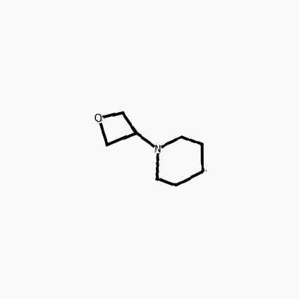 [CH]1CCN(C2COC2)CC1